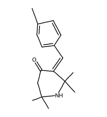 Cc1ccc(C=C2C(=O)CC(C)(C)NC2(C)C)cc1